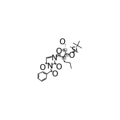 CCC[C@@H]1[C@H](O[Si](C)(C)C(C)(C)C)[C@@H](C=O)O[C@H]1n1ccc(=O)n(C(=O)c2ccccc2)c1=O